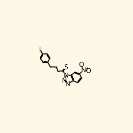 O=[N+]([O-])c1ccc2nnn(C(=S)CCCc3ccc(I)cc3)c2c1